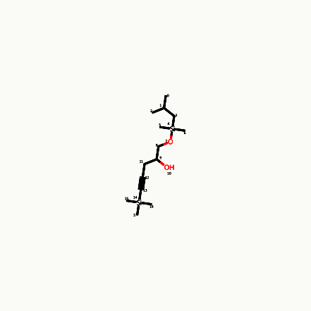 CC(C)C[Si](C)(C)OCC(O)CC#C[Si](C)(C)C